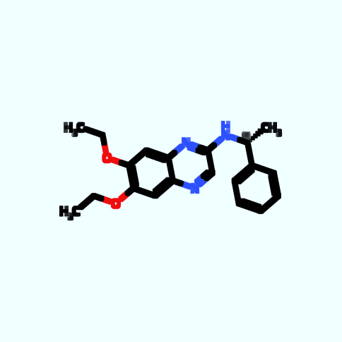 CCOc1cc2ncc(N[C@H](C)c3ccccc3)nc2cc1OCC